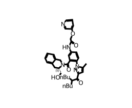 CCCCC(CCCC)C(=O)c1cc(C)n(-c2ccc(NC(=O)COc3cccnc3)cc2C(=O)N2Cc3ccccc3C[C@H]2CO)n1